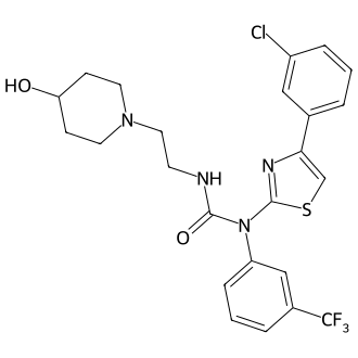 O=C(NCCN1CCC(O)CC1)N(c1cccc(C(F)(F)F)c1)c1nc(-c2cccc(Cl)c2)cs1